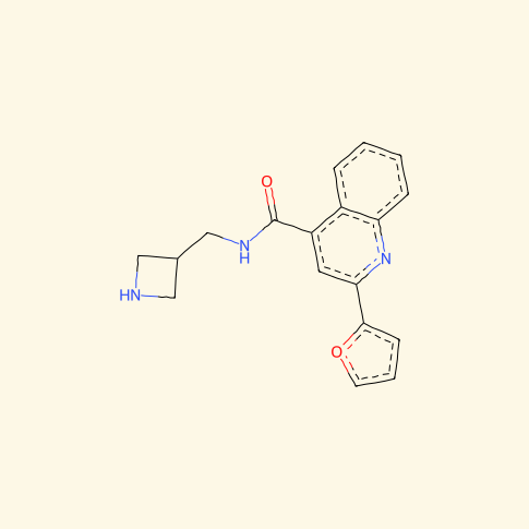 O=C(NCC1CNC1)c1cc(-c2ccco2)nc2ccccc12